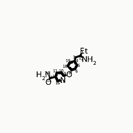 CCC(N)Cc1ccc(Oc2ccc(C(N)=O)cn2)cc1